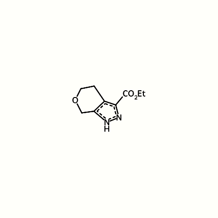 CCOC(=O)c1n[nH]c2c1CCOC2